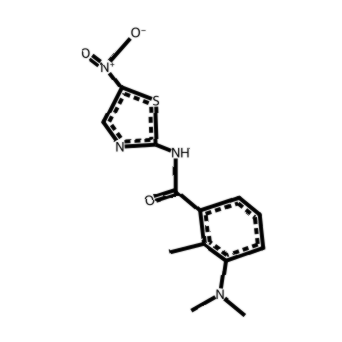 Cc1c(C(=O)Nc2ncc([N+](=O)[O-])s2)cccc1N(C)C